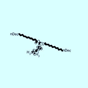 CCCCCCCCCCCCCCCC=CC=CC=CC(=O)O[C@H](COC=CCCCCCCCCCCCCCCCCCCCC)COP(=O)([O-])OCC[N+](C)(C)C